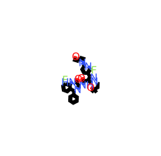 CC1(C)CCn2nc(-c3ccc(N4CC5OCC54)nc3F)c(C(=O)N[C@H]3N=C(c4ccccc4)c4cccc(F)c4NC3=O)c2O1